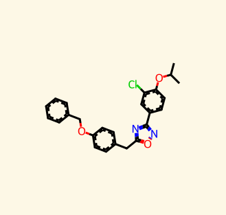 CC(C)Oc1ccc(-c2noc(Cc3ccc(OCc4ccccc4)cc3)n2)cc1Cl